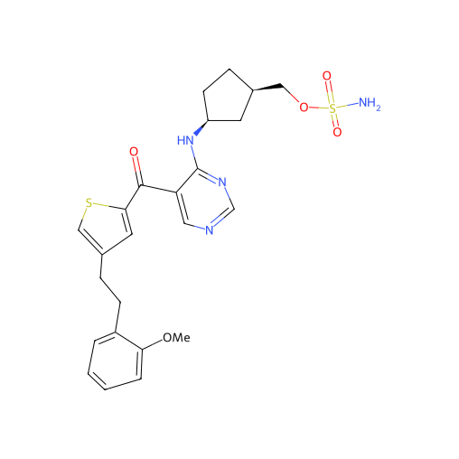 COc1ccccc1CCc1csc(C(=O)c2cncnc2N[C@H]2CC[C@@H](COS(N)(=O)=O)C2)c1